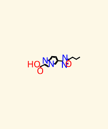 CCCc1nc(-c2ccc3nc(C(=O)O)cn3c2)no1